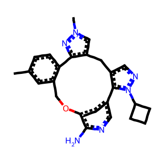 Cc1ccc2c(c1)COc1cc(cnc1N)-c1c(cnn1C1CCC1)Cc1cn(C)nc1-2